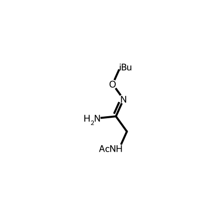 CCC(C)O/N=C(\N)CNC(C)=O